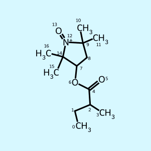 CCC(C)C(=O)OC1CC(C)(C)[N+](=O)C1(C)C